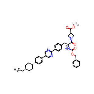 CC[C@H]1CC[C@H](c2ccc(-c3cnc(-c4ccc(C[C@H](NC(=O)OCc5ccccc5)C(=O)N5CC(C(=O)OC)C5)cc4)nc3)cc2)CC1